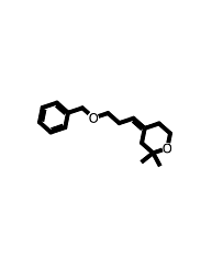 CC1(C)C/C(=C\CCOCc2ccccc2)CCO1